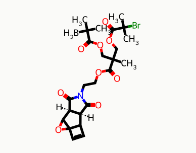 BC(C)(C)C(=O)OCC(C)(COC(=O)C(C)(C)Br)C(=O)OCCN1C(=O)[C@@H]2C3OC34C=CC4[C@@H]2C1=O